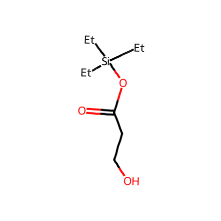 CC[Si](CC)(CC)OC(=O)CCO